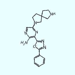 Nc1ncc(N2CCC3(CCNC3)C2)nc1-c1nnc(-c2ccccc2)o1